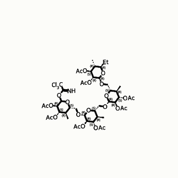 CC[C@H]1O[C@@H](OC[C@H]2O[C@@H](OC[C@H]3O[C@@H](OC[C@H]4OC(OC(=N)C(Cl)(Cl)Cl)[C@H](OC(C)=O)[C@@H](OC(C)=O)[C@@H]4C)[C@H](OC(C)=O)[C@@H](OC(C)=O)[C@@H]3C)[C@H](OC(C)=O)[C@@H](OC(C)=O)[C@@H]2C)[C@H](OC(C)=O)[C@@H](OC(C)=O)[C@@H]1C